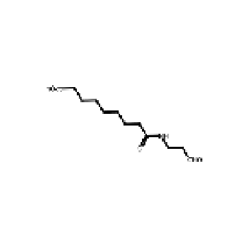 CCCCCCCCCCCCCCCC(=O)NCCC=O